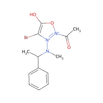 CC(=O)[n+]1oc(O)c(Br)[n+]1N(C)C(C)c1ccccc1